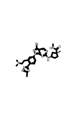 CNC(=O)[C@]1(C)CC[C@@H](Nc2ncc3c(Br)nn(-c4ccc(-c5nnc(C)s5)c(CCN(C)C)c4)c3n2)C1